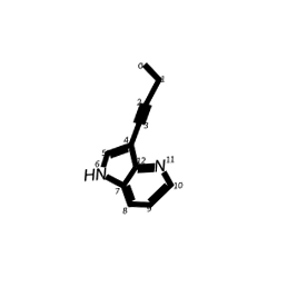 CCC#Cc1c[nH]c2cccnc12